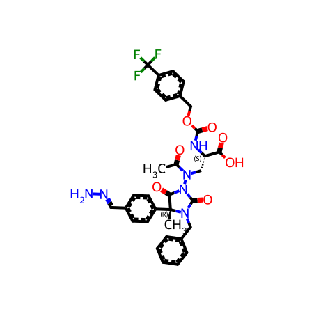 CC(=O)N(C[C@H](NC(=O)OCc1ccc(C(F)(F)F)cc1)C(=O)O)N1C(=O)N(Cc2ccccc2)[C@](C)(c2ccc(C=NN)cc2)C1=O